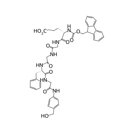 O=C(O)CCC[C@H](NC(=O)OCC1c2ccccc2-c2ccccc21)C(=O)NCC(=O)NCC(=O)N[C@@H](Cc1ccccc1)C(=O)NCC(=O)Nc1ccc(CO)cc1